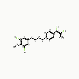 CCC/C(F)=C(/F)c1ccc(CCCCc2cc(F)c(CCC)c(F)c2)cc1